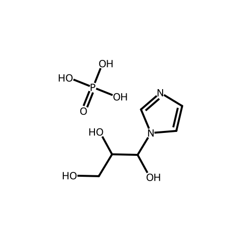 O=P(O)(O)O.OCC(O)C(O)n1ccnc1